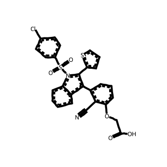 N#Cc1c(OCC(=O)O)cccc1-c1c(-c2cccs2)n(S(=O)(=O)c2ccc(Cl)cc2)c2ccccc12